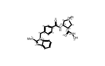 CSc1nc2ccccc2n1Cc1ccc(C(=O)N[C@@H]2CN(C(C)C)C[C@@H]2C(=O)NO)cc1